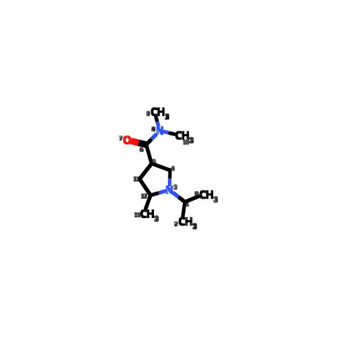 CC(C)N1CC(C(=O)N(C)C)CC1C